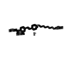 CCCCCCCCCCCCCCCCCC[n+]1ccc(/C=C/c2ccc(N(CCCCCC)CCCCCC)cc2)cc1.[I-]